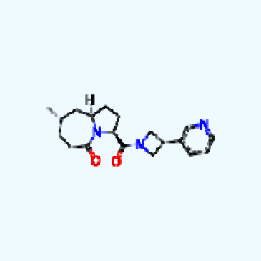 C[C@H]1CCC(=O)N2[C@H](CC[C@H]2C(=O)N2CC(c3cccnc3)C2)C1